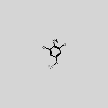 Nc1c(Cl)cc(SC(F)(F)F)cc1Cl